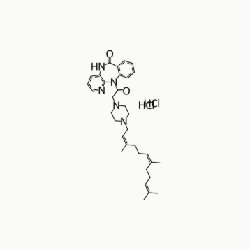 CC(C)=CCCC(C)=CCCC(C)=CCN1CCN(CC(=O)N2c3ccccc3C(=O)Nc3cccnc32)CC1.Cl.Cl